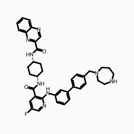 O=C(N[C@H]1CC[C@@H](NC(=O)c2cc(F)cnc2Nc2cccc(-c3ccc(CN4CCCNCC4)cc3)c2)CC1)c1cnc2ccccc2n1